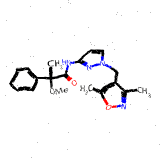 COC(C)(C(=O)Nc1ccn(Cc2c(C)noc2C)n1)c1ccccc1